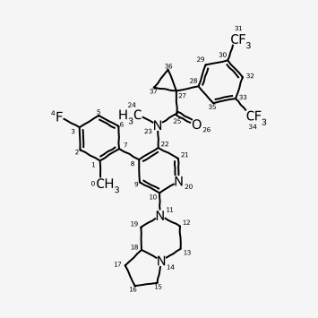 Cc1cc(F)ccc1-c1cc(N2CCN3CCCC3C2)ncc1N(C)C(=O)C1(c2cc(C(F)(F)F)cc(C(F)(F)F)c2)CC1